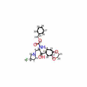 O=C(N[C@H](CN1CC[C@H](F)C1)[C@H](O)c1ccc2c(c1)OCCO2)OCc1ccccc1